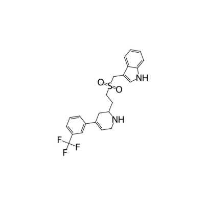 O=S(=O)(CCC1CC(c2cccc(C(F)(F)F)c2)=CCN1)Cc1c[nH]c2ccccc12